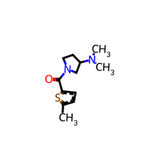 Cc1ccc(C(=O)N2CCC(N(C)C)C2)s1